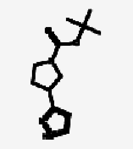 CC(C)(C)OC(=O)N1CCC(c2cc[nH]n2)C1